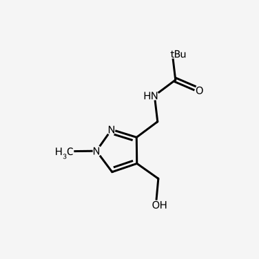 Cn1cc(CO)c(CNC(=O)C(C)(C)C)n1